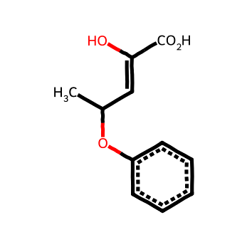 CC(/C=C(\O)C(=O)O)Oc1ccccc1